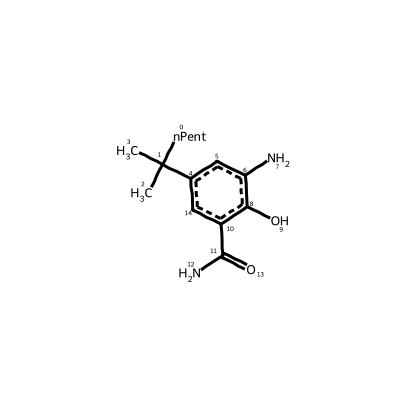 CCCCCC(C)(C)c1cc(N)c(O)c(C(N)=O)c1